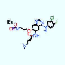 CN(C)CC=CC(=O)Nc1cc2c(Nc3ccc(F)c(Cl)c3)ncnc2cc1OCCCNC(=O)OC(C)(C)C